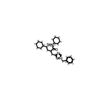 N[C@@H](CC(Cc1ncn(Cc2ccccc2)n1)C(=O)NC1CCCCC1)C1CCCCC1